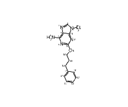 CCn1cnc2c(N)nc(OCCCc3ccccc3)nc21